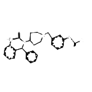 CC(=O)Nc1cccc(CN2CCC(N3C(=O)Nc4ccccc4C3c3ccccc3)CC2)c1